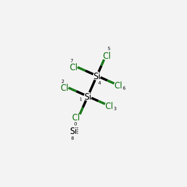 Cl[Si](Cl)(Cl)[Si](Cl)(Cl)Cl.[Si]